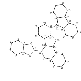 C1CCC2CC(C3CC4CCCCC4C4CC5C(CCCC5N5C6CCCCC6C6CCCCC65)C34)CC2C1